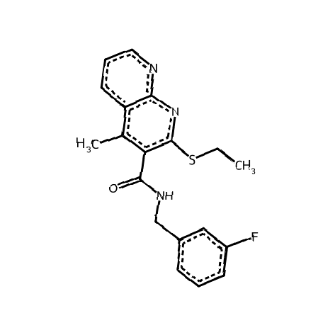 CCSc1nc2ncccc2c(C)c1C(=O)NCc1cccc(F)c1